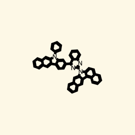 c1ccc(-n2c3cc(-c4nc(-n5c6cc7ccccc7cc6c6c7ccccc7ccc65)nc5ccccc45)ccc3c3cc4ccccc4cc32)cc1